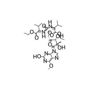 CCOC(=O)[C@@H](NP(=O)(N[C@H](C(=O)OCC)C(C)C)OC[C@H]1O[C@@H](n2cnc3c(OC)nc(O)nc32)[C@@](C)(O)C1O)C(C)C